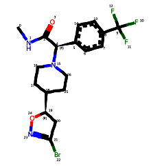 CNC(=O)[C@@H](c1ccc(C(F)(F)F)cc1)N1CCC([C@H]2CC(Br)=NO2)CC1